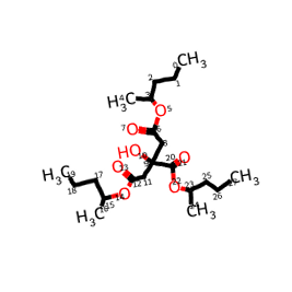 CCCC(C)OC(=O)CC(O)(CC(=O)OC(C)CCC)C(=O)OC(C)CCC